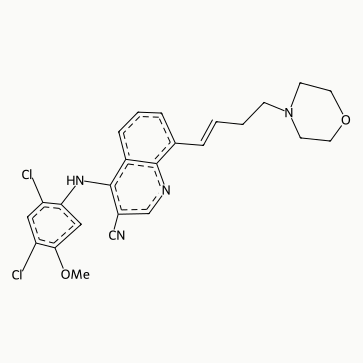 COc1cc(Nc2c(C#N)cnc3c(/C=C/CCN4CCOCC4)cccc23)c(Cl)cc1Cl